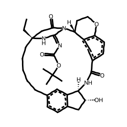 CC[C@@]12CCCCCc3ccc4c(c3)[C@@H](NC(=O)c3ccc5c(c3)[C@@H](CCO5)N(C(=O)C1)/C(=N/C(=O)OC(C)(C)C)N2)[C@H](O)C4